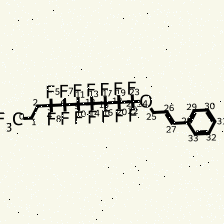 FC(F)(F)CCC(F)(F)C(F)(F)C(F)(F)C(F)(F)C(F)(F)C(F)(F)C(F)(F)OCC=Cc1ccccc1